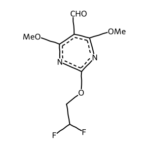 COc1nc(OCC(F)F)nc(OC)c1C=O